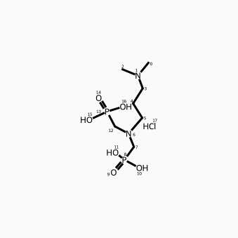 CN(C)CCCN(CP(=O)(O)O)CP(=O)(O)O.Cl